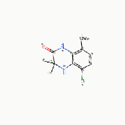 COc1ccc(Cl)c2c1NC(=O)C(C)(C)N2